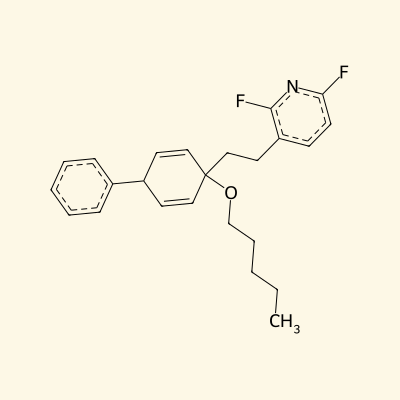 CCCCCOC1(CCc2ccc(F)nc2F)C=CC(c2ccccc2)C=C1